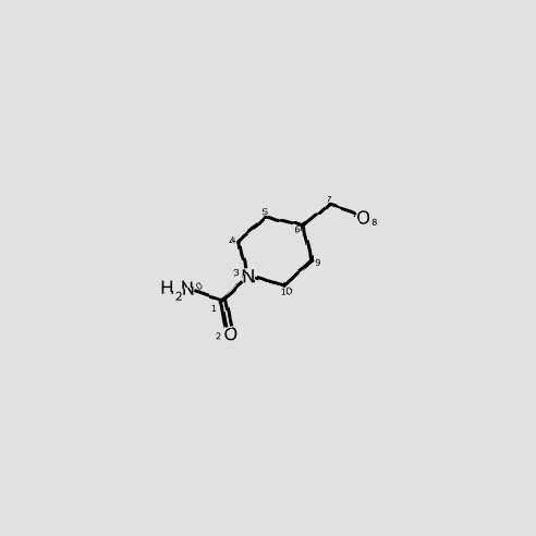 NC(=O)N1CCC(C[O])CC1